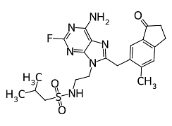 Cc1cc2c(cc1Cc1nc3c(N)nc(F)nc3n1CCNS(=O)(=O)CC(C)C)C(=O)CC2